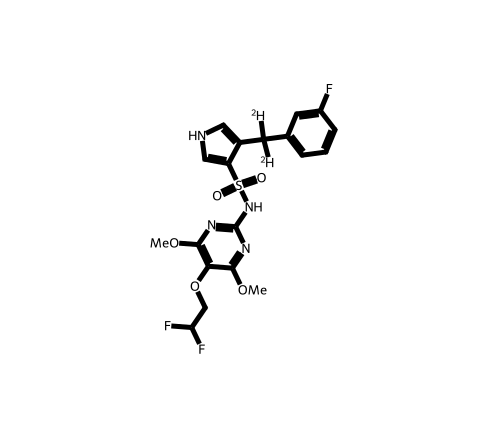 [2H]C([2H])(c1cccc(F)c1)c1c[nH]cc1S(=O)(=O)Nc1nc(OC)c(OCC(F)F)c(OC)n1